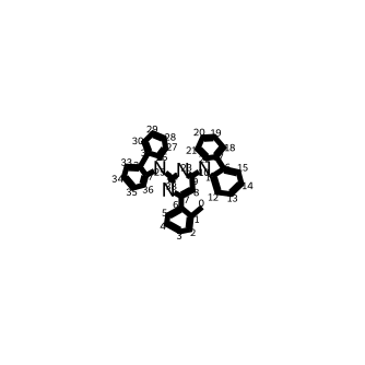 Cc1ccccc1-c1cc(-n2c3ccccc3c3ccccc32)nc(-n2c3ccccc3c3ccccc32)n1